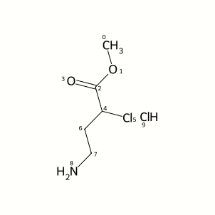 COC(=O)C(Cl)CCN.Cl